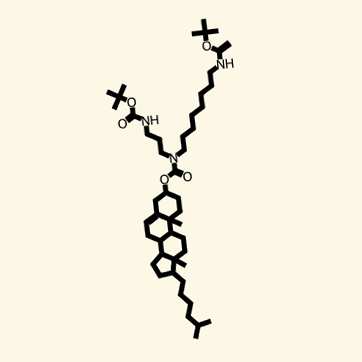 C=C(NCCCCCCCCN(CCCNC(=O)OC(C)(C)C)C(=O)OC1CCC2(C)C(=CCC3C2CCC2(C)C(CCCCC(C)C)CCC32)C1)OC(C)(C)C